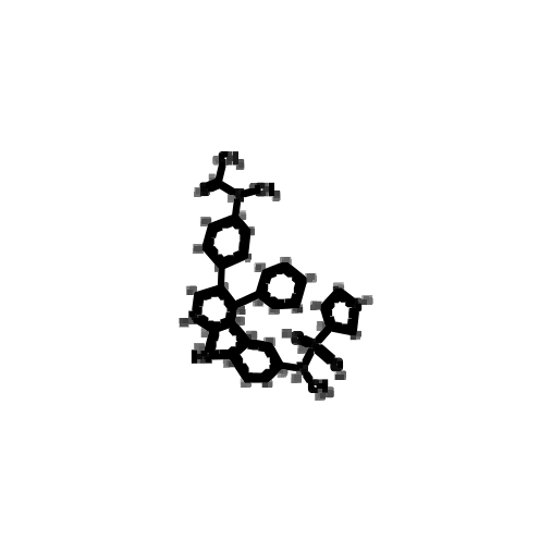 CC(=S)N(C)c1ccc(-c2cnc3[nH]c4ccc(N(C)S(=O)(=O)c5ccsc5)cc4c3c2-c2ccccc2)cc1